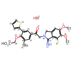 Br.CCOc1cc2c(c(F)c1OCC)C(=N)N(CC(=O)c1cc(-c3cccs3)c(OCC(=O)O)c(C(C)(C)C)c1)C2